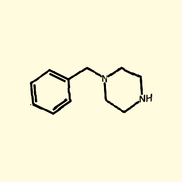 [c]1ccc(CN2CCNCC2)cc1